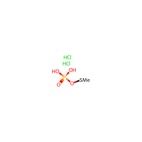 CSOP(=O)(O)O.Cl.Cl